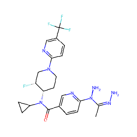 C/C(=N/N)N(N)c1ccc(C(=O)N(C2CC2)[C@H]2CCN(c3ccc(C(F)(F)F)cn3)C[C@H]2F)cn1